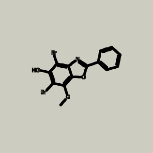 COc1c(Br)c(O)c(Br)c2nc(-c3ccccc3)oc12